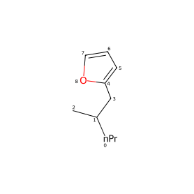 CCCC(C)Cc1ccco1